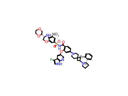 CC(C)c1ccccc1[C@@H]1CCCN1C1CC2(CCN(c3ccc(C(=O)NS(=O)(=O)c4cc5c(c([N+](=O)[O-])c4)NC([C@H]4COCCO4)CO5)c(Oc4cnc5[nH]cc(F)c5c4)c3)CC2)C1